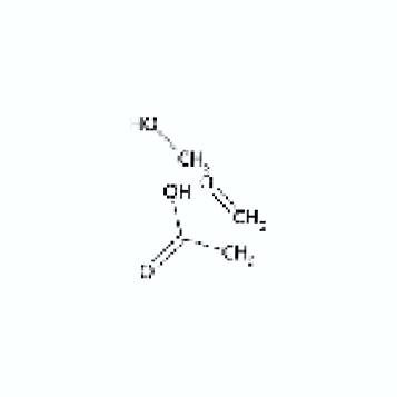 C=O.CC(=O)O.CO